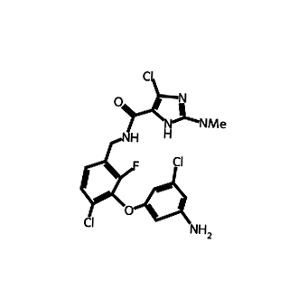 CNc1nc(Cl)c(C(=O)NCc2ccc(Cl)c(Oc3cc(N)cc(Cl)c3)c2F)[nH]1